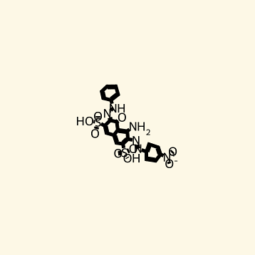 Nc1c(/N=N/c2ccc([N+](=O)[O-])cc2)c(S(=O)(=O)O)cc2c1C(=O)/C(=N\Nc1ccccc1)C(S(=O)(=O)O)=C2